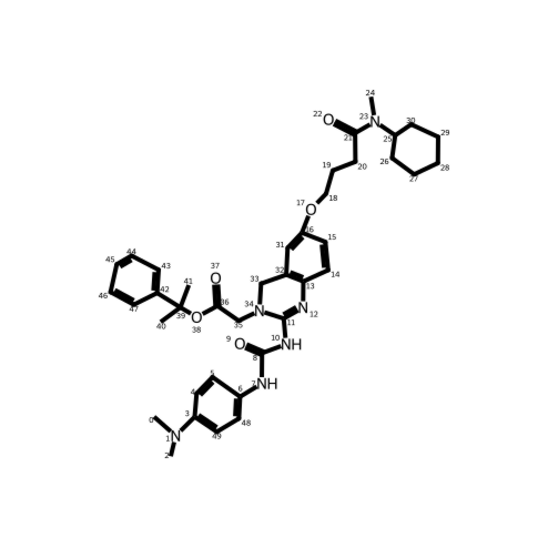 CN(C)c1ccc(NC(=O)NC2=Nc3ccc(OCCCC(=O)N(C)C4CCCCC4)cc3CN2CC(=O)OC(C)(C)c2ccccc2)cc1